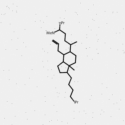 C=CCC1C(C(C)CCC(CCC)NC)CCC2(C)C(CCCCC(C)C)CCC12